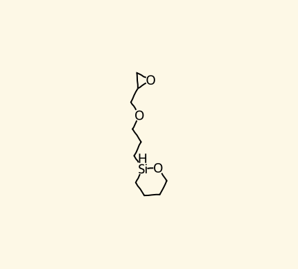 C1CC[SiH](CCCOCC2CO2)OC1